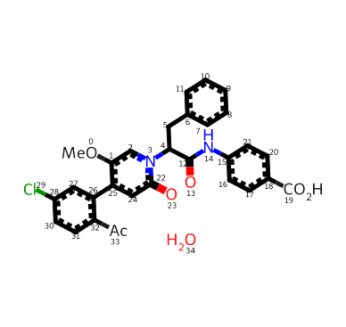 COc1cn(C(Cc2ccccc2)C(=O)Nc2ccc(C(=O)O)cc2)c(=O)cc1-c1cc(Cl)ccc1C(C)=O.O